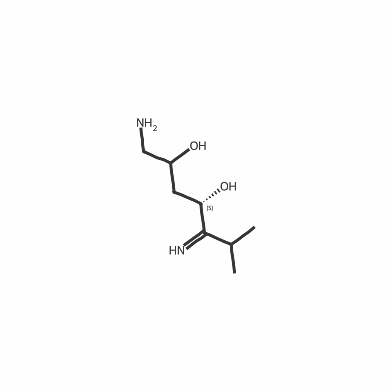 CC(C)C(=N)[C@@H](O)CC(O)CN